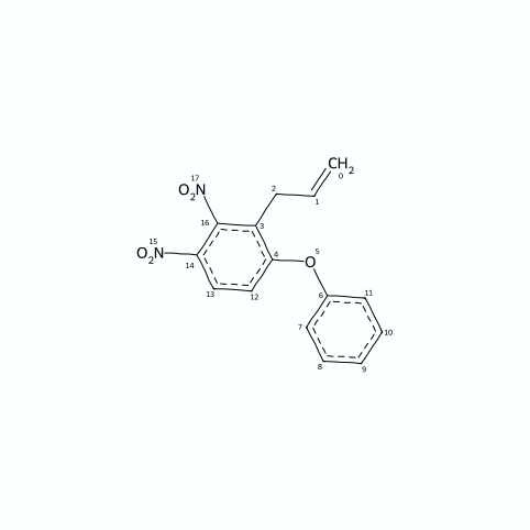 C=CCc1c(Oc2ccccc2)ccc([N+](=O)[O-])c1[N+](=O)[O-]